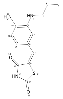 CCCNc1cc(C=C2SC(=O)NC2=O)ccc1N